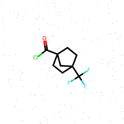 O=C(Cl)C12CCC(C(F)(F)F)(CC1)C2